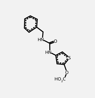 O=C(NCc1ccccc1)Nc1csc(OC(=O)O)c1